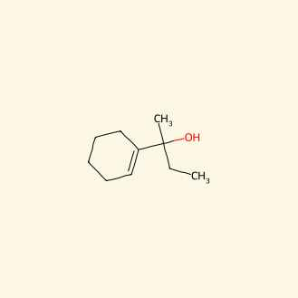 CCC(C)(O)C1=CCCCC1